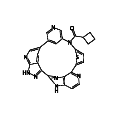 O=C(C1CCC1)n1c2cncc(c2)c2cnc3[nH]nc(c4nc5c(ccnc5c5ccc1s5)[nH]4)c3c2